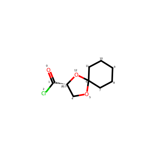 O=C(Cl)[C@H]1COC2(CCCCC2)O1